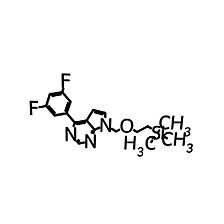 C[Si](C)(C)CCOCn1ccc2c(-c3cc(F)cc(F)c3)ncnc21